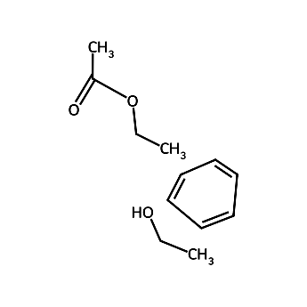 CCO.CCOC(C)=O.c1ccccc1